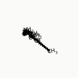 CCCCCCCCCCCCCCCC(=O)OCCSC[C@H](N)C(=O)NCCCn1c(COCC)nc2c(N)nc3ccccc3c21